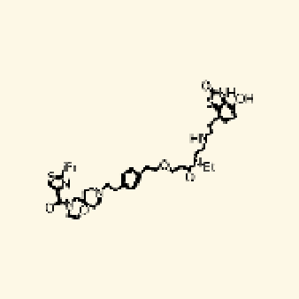 CCN(CCNCCc1ccc(O)c2[nH]c(=O)sc12)C(=O)CCOCCc1ccc(CCN2CCC3(CC2)CN(C(=O)c2csc(C(C)C)n2)CCO3)cc1